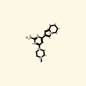 CN1CCN(c2cc(-c3cc4n(c3)CCCC4)nc(N)n2)CC1